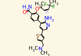 CC(/C=C\C(C)(F)F)Oc1cc(-c2cc(-c3cc(CN(C)C)cs3)cnc2N)ccc1C(N)=O